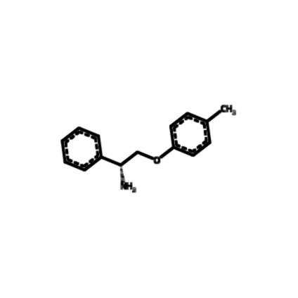 Cc1ccc(OC[C@H](N)c2ccccc2)cc1